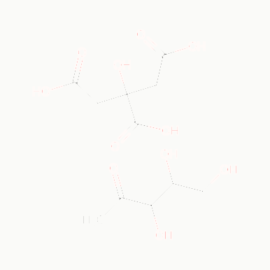 CC(=O)C(O)C(O)CO.O=C(O)CC(O)(CC(=O)O)C(=O)O